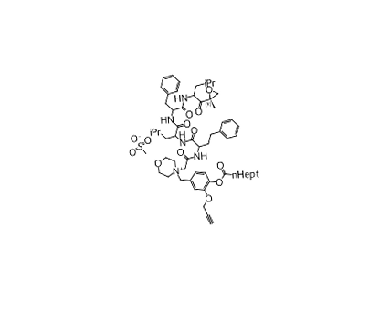 C#CCOc1cc(C[N+]2(CC(=O)NC(CCc3ccccc3)C(=O)NC(CC(C)C)C(=O)NC(Cc3ccccc3)C(=O)NC(CC(C)C)C(=O)[C@@]3(C)CO3)CCOCC2)ccc1OC(=O)CCCCCCC.CS(=O)(=O)[O-]